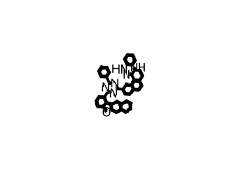 N=C1C=Cc2ccc3ccc(-c4nc(-c5ccccc5)nc(-c5cccc6oc7cc8ccccc8cc7c56)n4)cc3c2/C1=N/Nc1ccccc1